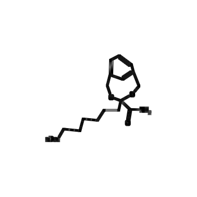 CCCCCCCCCCCCCCCCC1(C(N)=O)OCc2cccc(c2)CO1